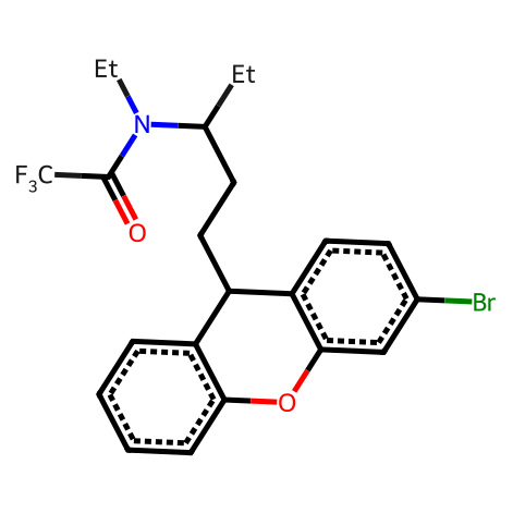 CCC(CCC1c2ccccc2Oc2cc(Br)ccc21)N(CC)C(=O)C(F)(F)F